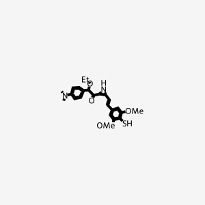 CCOC(C(=O)C1NC1/C=C/c1cc(OC)c(S)c(OC)c1)c1ccc(N(C)C)cc1